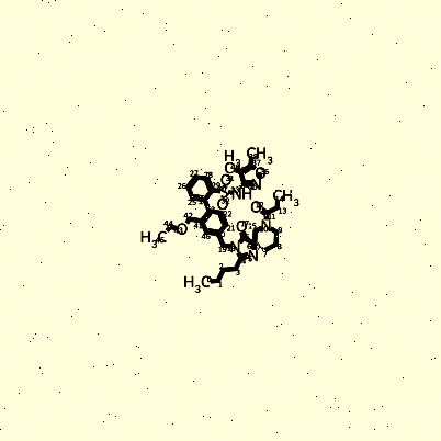 CCCCC1=N[C@@]2(CCCN(C(=O)CC)C2)C(=O)N1Cc1ccc(-c2ccccc2S(=O)(=O)Nc2noc(C)c2C)c(COCC)c1